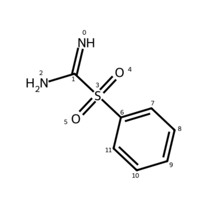 N=C(N)S(=O)(=O)c1ccccc1